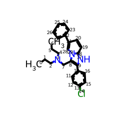 CCCN(CCC)CC1=C(c2ccc(Cl)cc2)NC2C=CC(c3ccccc3)=CN12